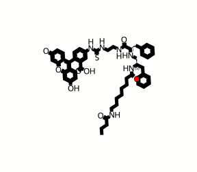 CCCC(=O)NCCCCCCCC(=O)N[C@H](CN[C@@H](Cc1ccccc1)C(=O)NCCNC(=S)Nc1ccc(-c2c3ccc(=O)cc-3oc3cc(O)ccc23)c(C(=O)O)c1)Cc1ccccc1